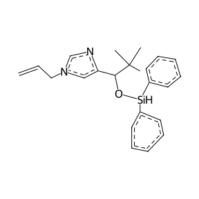 C=CCn1cnc(C(O[SiH](c2ccccc2)c2ccccc2)C(C)(C)C)c1